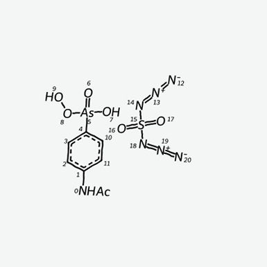 CC(=O)Nc1ccc([As](=O)(O)OO)cc1.[N-]=[N+]=NS(=O)(=O)N=[N+]=[N-]